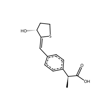 C[C@H](C(=O)O)c1ccc(/C=C2\SCC[C@H]2O)cc1